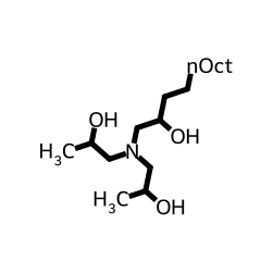 CCCCCCCCCCC(O)CN(CC(C)O)CC(C)O